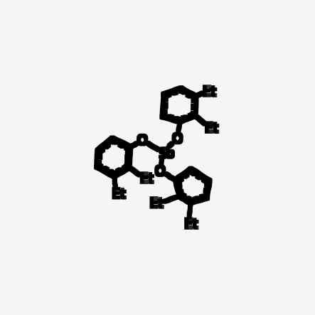 CCc1cccc([O][Sb]([O]c2cccc(CC)c2CC)[O]c2cccc(CC)c2CC)c1CC